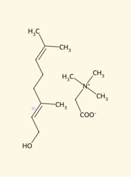 CC(C)=CCC/C(C)=C/CO.C[N+](C)(C)CC(=O)[O-]